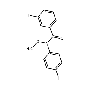 CON(C(=O)c1cccc(F)c1)c1ccc(I)cc1